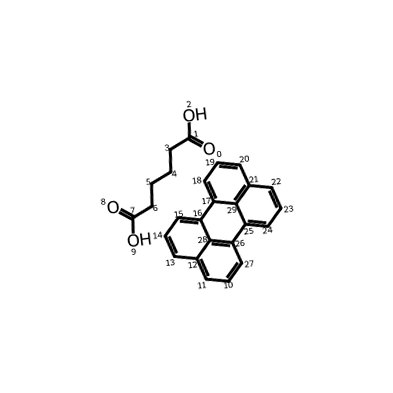 O=C(O)CCCCC(=O)O.c1cc2cccc3c4cccc5cccc(c(c1)c23)c54